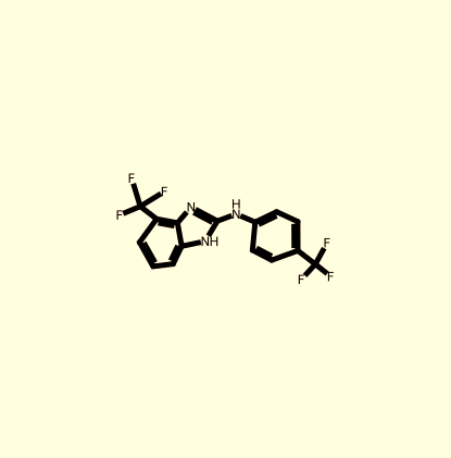 FC(F)(F)c1ccc(Nc2nc3c(C(F)(F)F)cccc3[nH]2)cc1